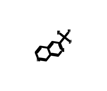 FC(F)(F)c1cc2ccncc2cn1